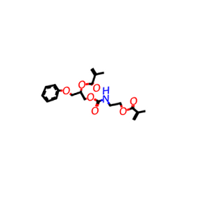 C=C(C)C(=O)OCCNC(=O)OCC(COc1ccccc1)OC(=O)C(=C)C